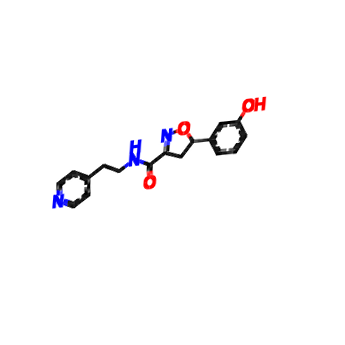 O=C(NCCc1ccncc1)C1=NOC(c2cccc(O)c2)C1